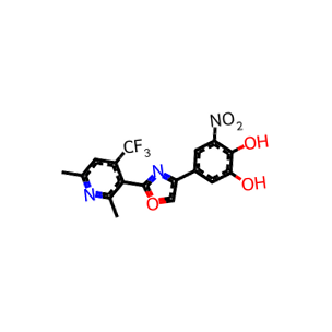 Cc1cc(C(F)(F)F)c(-c2nc(-c3cc(O)c(O)c([N+](=O)[O-])c3)co2)c(C)n1